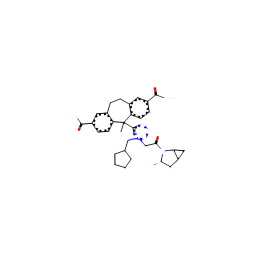 CNC(=O)c1ccc2c(c1)CCc1cc(C(=O)NC)ccc1C2(C[C@H](NCC(=O)N1[C@H](C#N)C[C@@H]2C[C@@H]21)C1CCCC1)c1nnn[nH]1